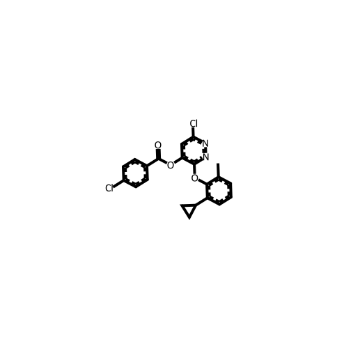 Cc1cccc(C2CC2)c1Oc1nnc(Cl)cc1OC(=O)c1ccc(Cl)cc1